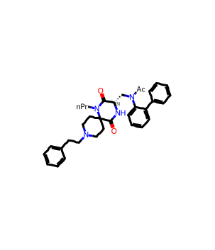 CCCN1C(=O)[C@H](CN(C(C)=O)c2ccccc2-c2ccccc2)NC(=O)C12CCN(CCc1ccccc1)CC2